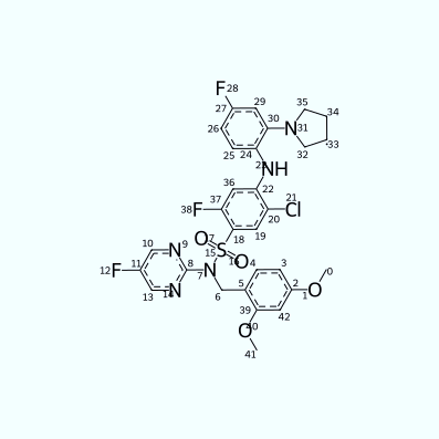 COc1ccc(CN(c2ncc(F)cn2)S(=O)(=O)c2cc(Cl)c(Nc3ccc(F)cc3N3C[CH]CC3)cc2F)c(OC)c1